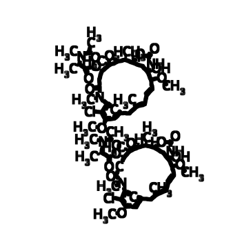 COc1cc2cc(c1Cl)N(C)C(=O)C[C@H](OC(=O)[C@H](C)N(C)C(C)=O)[C@]1(C)O[C@H]1[C@H](C)[C@@H]1C[C@@](O)(NC(=O)O1)C(OC)/C=C/C=C(\C)C2.COc1cc2cc(c1Cl)N(C)C(=O)C[C@H](OC(=O)[C@H](C)N(C)C(C)=O)[C@]1(C)O[C@H]1[C@H](C)[C@@H]1C[C@@](O)(NC(=O)O1)C(OC)/C=C/C=C(\C)C2